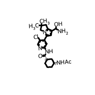 CC(=O)N[C@@H]1CCC[C@H](C(=O)Nc2cc(-c3cc(C(N)O)c4n3CC(C)(C)C4)c(Cl)cn2)C1